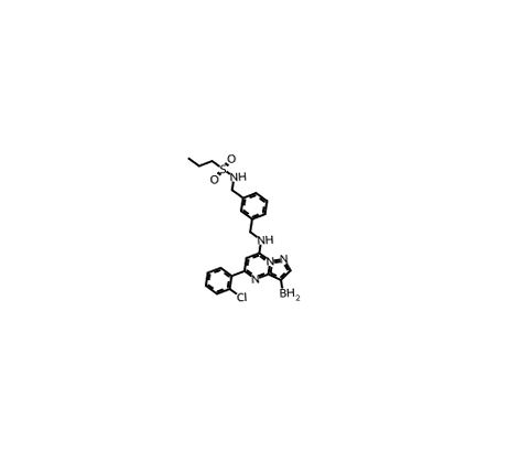 Bc1cnn2c(NCc3cccc(CNS(=O)(=O)CCC)c3)cc(-c3ccccc3Cl)nc12